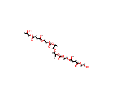 CC(O)COC(=O)CCC(=O)OCCOC(=O)OC(C)COCC(C)OC(=O)OCCOC(=O)CCC(=O)OCCO